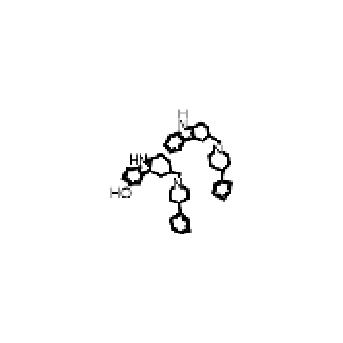 Oc1ccc2[nH]c3c(c2c1)CC(CN1CCC(c2ccccc2)CC1)CC3.c1ccc(C2CCN(CC3CCc4[nH]c5ccccc5c4C3)CC2)cc1